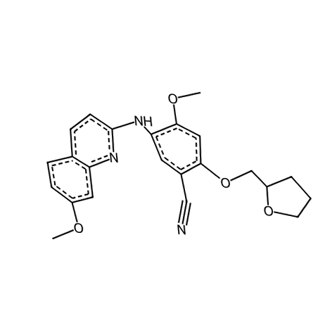 COc1ccc2ccc(Nc3cc(C#N)c(OCC4CCCO4)cc3OC)nc2c1